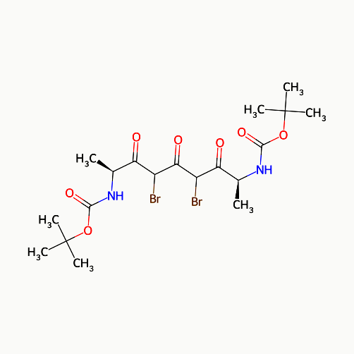 C[C@H](NC(=O)OC(C)(C)C)C(=O)C(Br)C(=O)C(Br)C(=O)[C@H](C)NC(=O)OC(C)(C)C